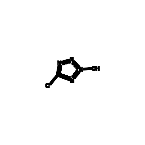 On1nnc(Cl)n1